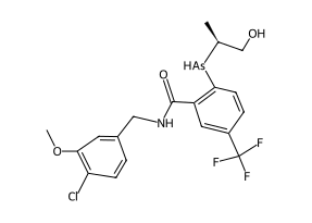 COc1cc(CNC(=O)c2cc(C(F)(F)F)ccc2[AsH][C@@H](C)CO)ccc1Cl